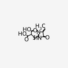 C/C=C1\N=C(SC(C(=O)O)C(=O)O)NC1=O